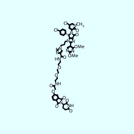 COc1ncc(-c2nc3c(n2CCCn2cc(C(=O)NCCOCCOCCNC(=O)COc4ccc5c(c4)C(=O)N(C4CCC(=O)NC4=O)C5=O)nn2)[C@H](c2ccc(Cl)cc2)N(c2cc(Cl)cn(C)c2=O)C3=O)c(OC)n1